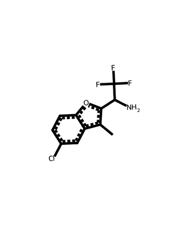 Cc1c(C(N)C(F)(F)F)oc2ccc(Cl)cc12